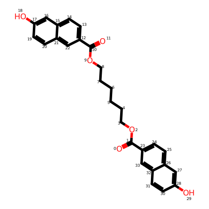 O=C(OCCCCCCOC(=O)c1ccc2cc(O)ccc2c1)c1ccc2cc(O)ccc2c1